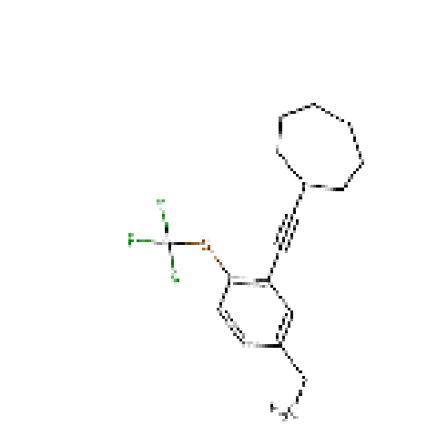 CCc1ccc(SC(F)(F)F)c(C#CC2CCCCCC2)c1